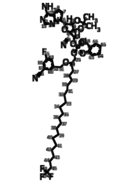 CC1(C)O[C@H]2[C@H](c3ccc4c(N)ncnn34)O[C@](C#N)(COP(=O)(OC[C@@H](CCCCCCCCCCCCCCCCCCCC(F)(F)F)OCc3cc(F)cc(C#N)c3)Oc3ccccc3Cl)[C@H]2O1